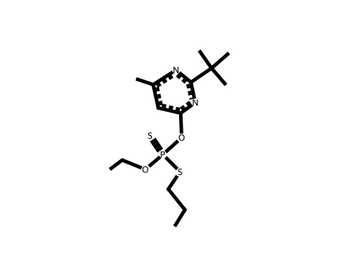 CCCSP(=S)(OCC)Oc1cc(C)nc(C(C)(C)C)n1